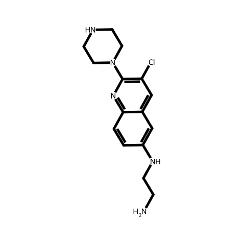 NCCNc1ccc2nc(N3CCNCC3)c(Cl)cc2c1